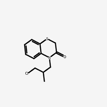 CC(CCl)CN1C(=O)CSc2ccccc21